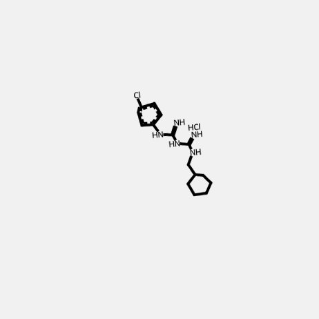 Cl.N=C(NCC1CCCCC1)NC(=N)Nc1ccc(Cl)cc1